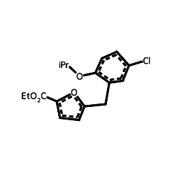 CCOC(=O)c1ccc(Cc2cc(Cl)ccc2OC(C)C)o1